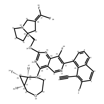 C#Cc1c(F)ccc2cccc(-c3ncc4c(N5CCOC[C@H]6[C@H](F)[C@H]65)nc(OC[C@@]56CCCN5CC(=C(F)F)C6)nc4c3F)c12